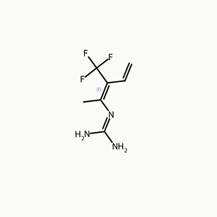 C=C/C(=C(/C)N=C(N)N)C(F)(F)F